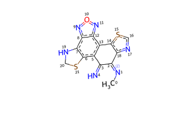 C/N=C1\C(=N)c2c3c(c4nonc4c2-c2scnc21)NCS3